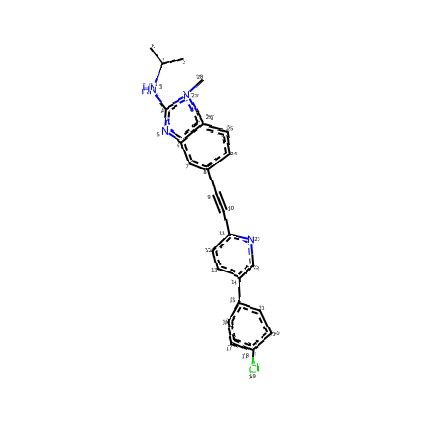 CC(C)Nc1nc2cc(C#Cc3ccc(-c4ccc(Cl)cc4)cn3)ccc2n1C